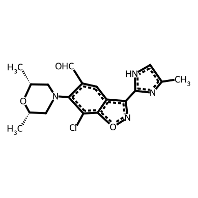 Cc1c[nH]c(-c2noc3c(Cl)c(N4C[C@@H](C)O[C@@H](C)C4)c(C=O)cc23)n1